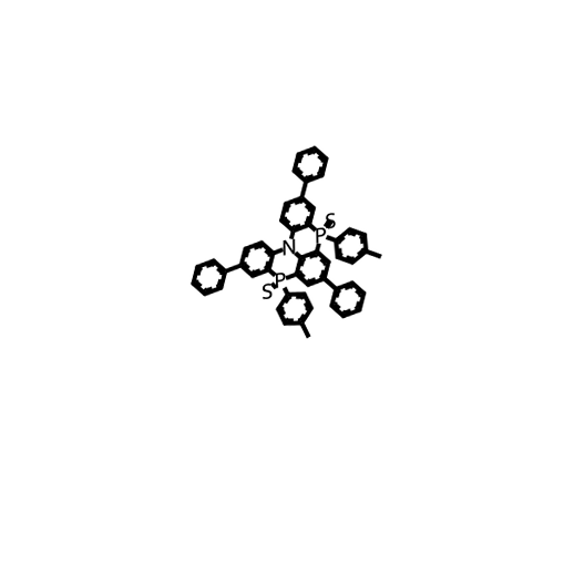 Cc1ccc(P2(=S)c3cc(-c4ccccc4)ccc3N3c4ccc(-c5ccccc5)cc4P(=S)(c4ccc(C)cc4)c4cc(-c5ccccc5)cc2c43)cc1